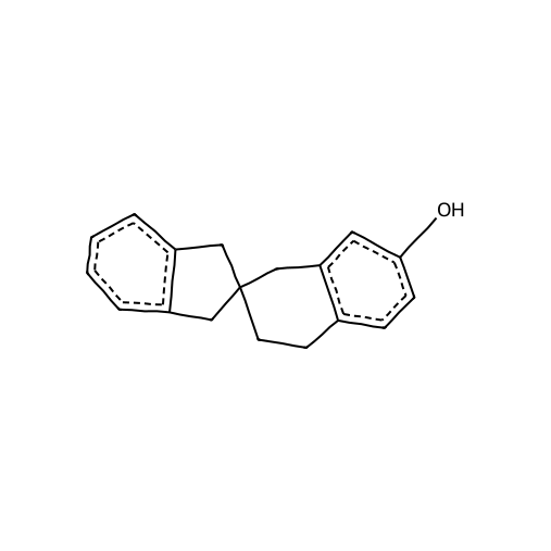 Oc1ccc2c(c1)CC1(CC2)Cc2ccccc2C1